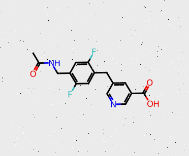 CC(=O)NCc1cc(F)c(Cc2cncc(C(=O)O)c2)cc1F